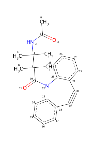 CC(=O)NC(C)(C)C(C)(C)C(=O)N1c2ccccc2C#Cc2ccccc21